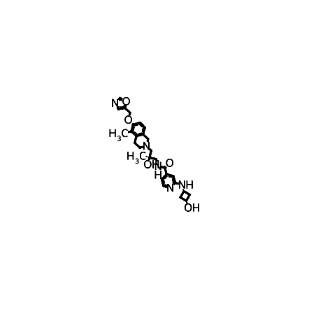 Cc1c(OCc2cnco2)ccc2c1CCN(C[C@](C)(O)CNC(=O)c1ccnc(N[C@H]3C[C@H](O)C3)c1)C2